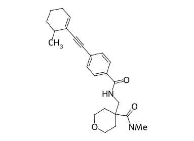 CNC(=O)C1(CNC(=O)c2ccc(C#CC3=CCCCC3C)cc2)CCOCC1